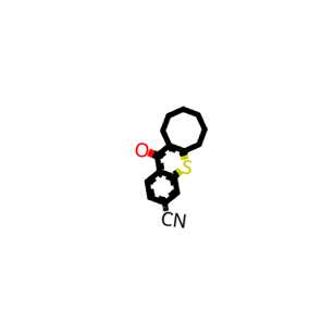 N#Cc1ccc2c(=O)c3c(sc2c1)CCCCCC3